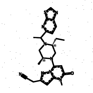 CC[C@@H]1CN(c2cc(=O)n(C)c3cc(CC#N)nn23)[C@@H](C)CN1C(C)c1ccc2ncsc2n1